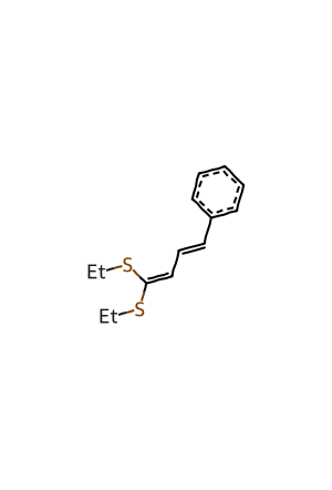 CCSC(=CC=Cc1ccccc1)SCC